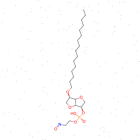 CCCCCCCCCCCCCCCCO[C@@H]1COC2C1OC[C@H]2OP(=O)(O)OCCN=O